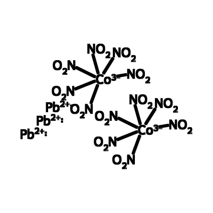 O=[N+]([O-])[Co-3]([N+](=O)[O-])([N+](=O)[O-])([N+](=O)[O-])([N+](=O)[O-])[N+](=O)[O-].O=[N+]([O-])[Co-3]([N+](=O)[O-])([N+](=O)[O-])([N+](=O)[O-])([N+](=O)[O-])[N+](=O)[O-].[Pb+2].[Pb+2].[Pb+2]